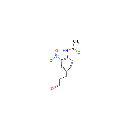 CC(=O)Nc1ccc(CCC=O)cc1[N+](=O)[O-]